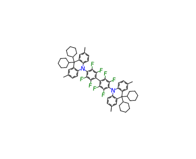 Cc1ccc2c(c1)C(C1CCCCC1)(C1CCCCC1)c1cc(C)ccc1N2c1c(F)c(F)c(-c2c(F)c(F)c(N3c4ccc(C)cc4C(C4CCCCC4)(C4CCCCC4)c4cc(C)ccc43)c(F)c2F)c(F)c1F